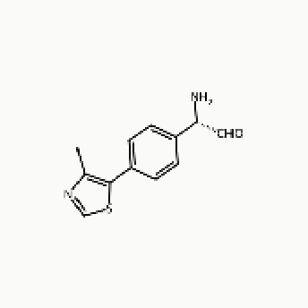 Cc1ncsc1-c1ccc([C@H](N)C=O)cc1